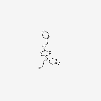 CC(C)CCN(c1ccc(OCc2ccccc2)cc1)C1CCNCC1